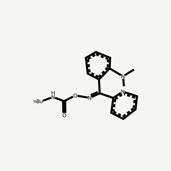 CCCCNC(=O)ON=C(c1ccccn1)c1ccccc1N(C)C